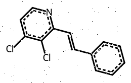 Clc1ccnc(C=Cc2ccccc2)c1Cl